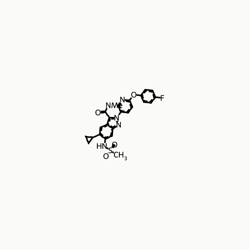 CNC(=O)c1c2cc(C3CC3)c(NS(C)(=O)=O)cc2nn1-c1ccc(Oc2ccc(F)cc2)nc1